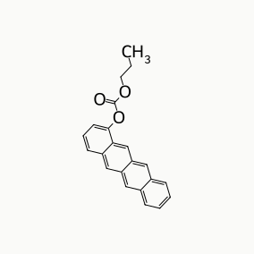 CCCOC(=O)Oc1cccc2cc3cc4ccccc4cc3cc12